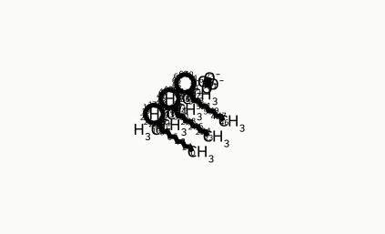 CCCCCCCCC[N+](C)(C)C1CCCCCCCCCC1.CCCCCCCCC[N+](C)(C)C1CCCCCCCCCC1.CCCCCCCCC[N+](C)(C)C1CCCCCCCCCC1.O=P([O-])([O-])[O-]